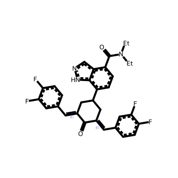 CCN(CC)C(=O)c1ccc(C2C/C(=C\c3ccc(F)c(F)c3)C(=O)/C(=C/c3ccc(F)c(F)c3)C2)c2[nH]ncc12